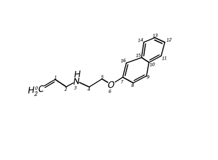 C=CCNCCOc1ccc2ccccc2c1